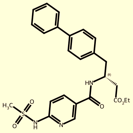 CCOC(=O)C[C@@H](Cc1ccc(-c2ccccc2)cc1)NC(=O)c1ccc(NS(C)(=O)=O)nc1